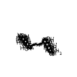 CN(C)[C@@H]1C(O)=C(C(N)=O)C(=O)[C@@]2(O)C(O)=C3C(=O)c4c(O)ccc(C#CCCC#Cc5ccc(O)c6c5C[C@H]5C[C@H]7CC(O)=C(C(N)=O)C(=O)[C@@]7(O)C(O)=C5C6=O)c4C[C@H]3C[C@@H]12